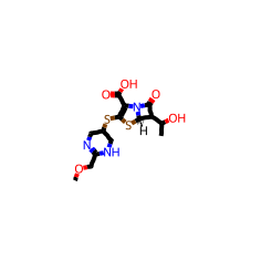 COCC1=NCC(SC2=C(C(=O)O)N3C(=O)C(C(C)O)[C@H]3S2)CN1